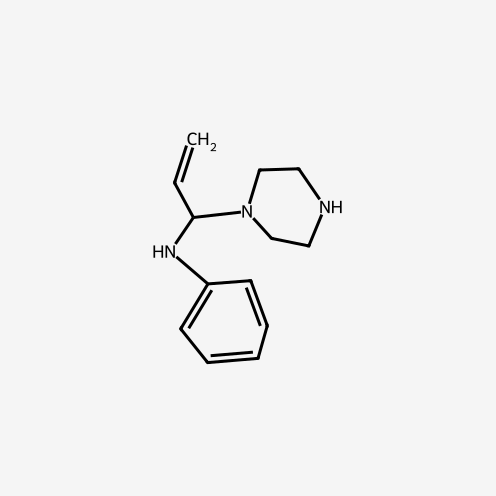 C=CC(Nc1ccccc1)N1CCNCC1